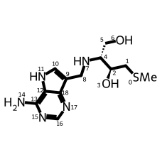 CSC[C@@H](O)[C@@H](CO)NCc1c[nH]c2c(N)ncnc12